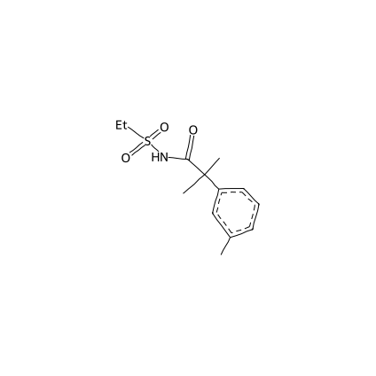 CCS(=O)(=O)NC(=O)C(C)(C)c1cccc(C)c1